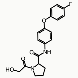 O=C(Nc1ccc(Oc2ccc(F)cc2)cc1)C1CCCN1C(=O)CO